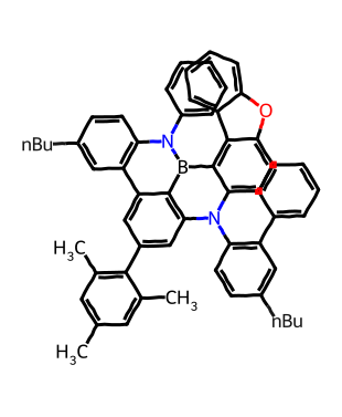 CCCCc1ccc2c(c1)-c1cc(-c3c(C)cc(C)cc3C)cc3c1B(c1c(ccc4oc5ccccc5c14)N3c1ccc(CCCC)cc1-c1ccccc1)N2c1ccccc1